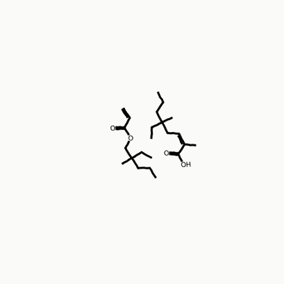 C=CC(=O)OCC(C)(CC)CCC.CCCC(C)(CC)CC=C(C)C(=O)O